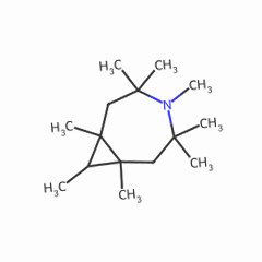 CC1C2(C)CC(C)(C)N(C)C(C)(C)CC12C